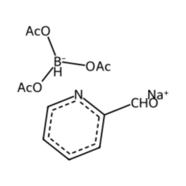 CC(=O)O[BH-](OC(C)=O)OC(C)=O.O=Cc1ccccn1.[Na+]